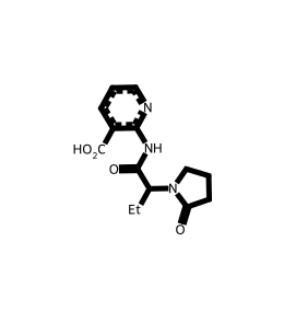 CCC(C(=O)Nc1ncccc1C(=O)O)N1CCCC1=O